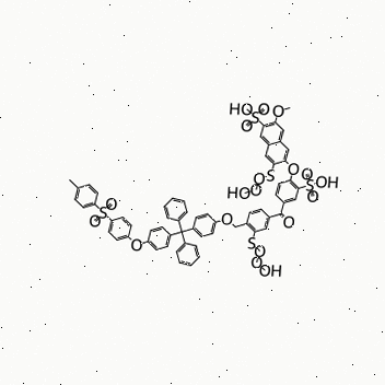 COc1cc2cc(Oc3ccc(C(=O)c4ccc(COc5ccc(C(c6ccccc6)(c6ccccc6)c6ccc(Oc7ccc(S(=O)(=O)c8ccc(C)cc8)cc7)cc6)cc5)c(SOOO)c4)cc3S(=O)(=O)O)c(SOOO)cc2cc1S(=O)(=O)O